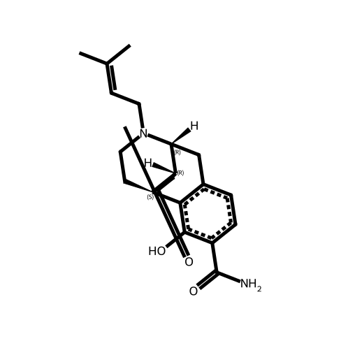 CC(C)=CCN1CC[C@]23CC(=O)CC[C@H]2[C@H]1Cc1ccc(C(N)=O)c(O)c13